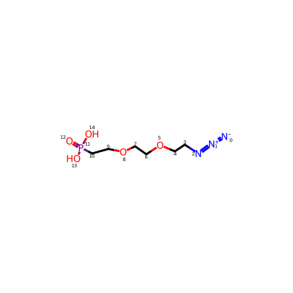 [N-]=[N+]=NCCOCCOCCP(=O)(O)O